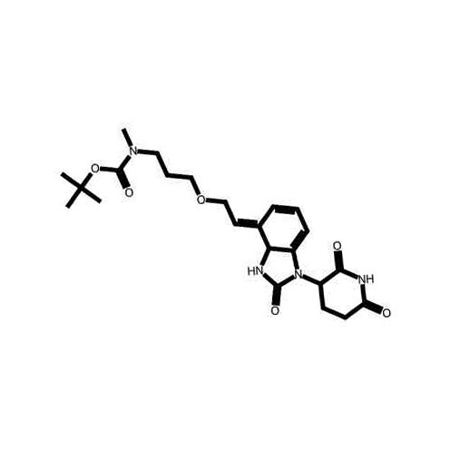 CN(CCCOCC=C1C=CC=C2C1NC(=O)N2C1CCC(=O)NC1=O)C(=O)OC(C)(C)C